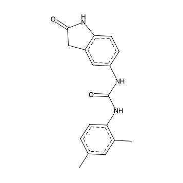 Cc1ccc(NC(=O)Nc2ccc3c(c2)CC(=O)N3)c(C)c1